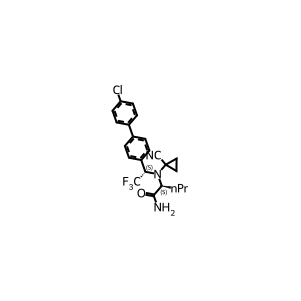 CCC[C@@H](C(N)=O)N([C@@H](c1ccc(-c2ccc(Cl)cc2)cc1)C(F)(F)F)C1(C#N)CC1